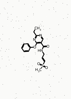 CCc1ncc(C(=O)NCC=CS(C)(=O)=O)c(Oc2ccccc2)n1